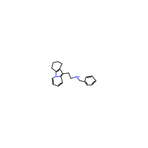 c1ccc(CNCCc2c3c(n4ccccc24)CCCC3)cc1